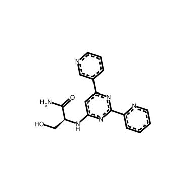 NC(=O)[C@H](CO)Nc1cc(-c2cccnc2)nc(-c2ccccn2)n1